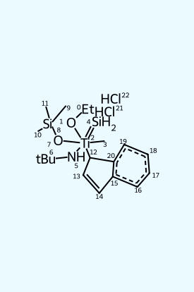 CC[O][Ti]([CH3])(=[SiH2])([NH]C(C)(C)C)([O][Si](C)(C)C)[CH]1C=Cc2ccccc21.Cl.Cl